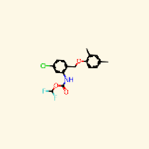 Cc1ccc(OCc2ccc(Cl)cc2NC(=O)OC(F)F)c(C)c1